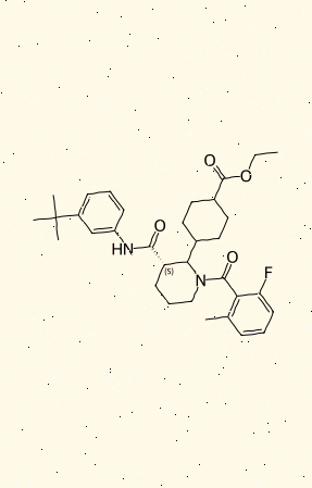 CCOC(=O)C1CCC(C2[C@@H](C(=O)Nc3cccc(C(C)(C)C)c3)CCCN2C(=O)c2c(C)cccc2F)CC1